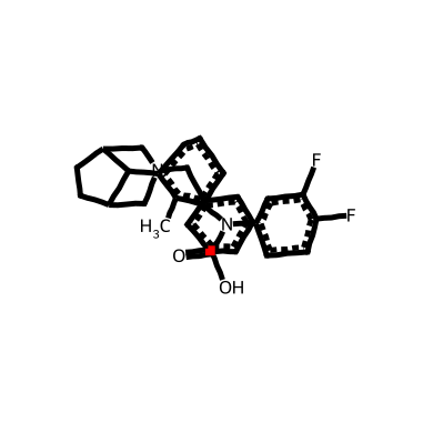 Cc1c(C2C3CCC2CN(Cc2ccccc2)C3)cccc1N(C(=O)O)c1ccc(F)c(F)c1